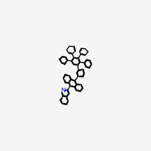 C1=CC(c2c(-c3ccccc3)cc(-c3cccc(-c4c5ccccc5c(-c5cc6ccccc6cn5)c5ccccc45)c3)c(-c3ccccc3)c2C2=CCCC=C2)=CCC1